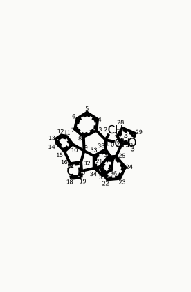 CC1(C)c2ccccc2C2(c3ccccc3-c3cccc(-c4cccc(-c5ccco5)c4)c32)c2ccccc21